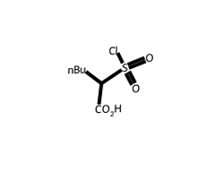 CCCCC(C(=O)O)S(=O)(=O)Cl